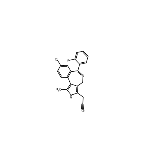 C#CCc1[nH]c(C)c2c1CN=C(c1ccccc1F)c1cc(Cl)ccc1-2